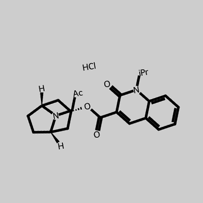 CC(=O)CN1[C@@H]2CC[C@H]1C[C@@H](OC(=O)c1cc3ccccc3n(C(C)C)c1=O)C2.Cl